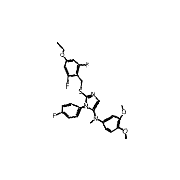 CCOc1cc(F)c(CSc2ncc(N(C)c3ccc(OC)c(OC)c3)n2-c2ccc(F)cc2)c(F)c1